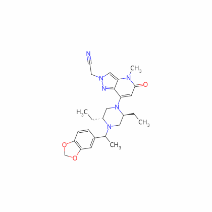 CC[C@H]1CN(C(C)c2ccc3c(c2)OCO3)[C@H](CC)CN1c1cc(=O)n(C)c2cn(CC#N)nc12